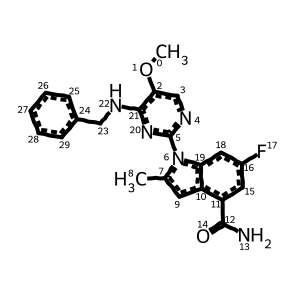 COc1cnc(-n2c(C)cc3c(C(N)=O)cc(F)cc32)nc1NCc1ccccc1